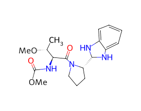 COC(=O)N[C@H](C(=O)N1CCC[C@H]1C1Nc2ccccc2N1)[C@@H](C)OC